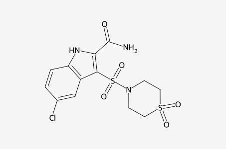 NC(=O)c1[nH]c2ccc(Cl)cc2c1S(=O)(=O)N1CCS(=O)(=O)CC1